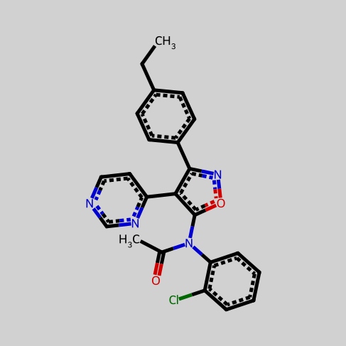 CCc1ccc(-c2noc(N(C(C)=O)c3ccccc3Cl)c2-c2ccncn2)cc1